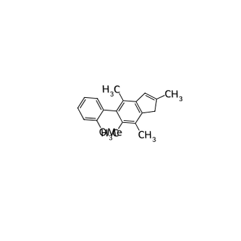 COc1ccccc1-c1c(C)c(C)c2c(c1C)C=C(C)C2